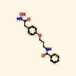 O=C(Cc1ccc(OCCCNC(=O)c2ccccc2)cc1)NO